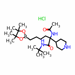 CC(=O)NC(CCCCB1OC(C)(C)C(C)(C)O1)(C(=O)NC(C)(C)C)C1CCNCC1.Cl